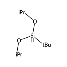 CC(C)O[SiH](OC(C)C)C(C)(C)C